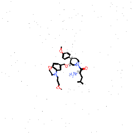 COCCCN1CCOc2ccc(CO[C@H]3CN(C(=O)[C@@H](N)CC(C)C)CC[C@@H]3c3ccc(OC)cc3)cc21